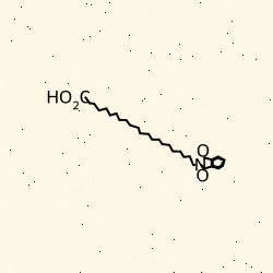 O=C(O)CCCCCCCCCCCCCCCCCCCCCN1C(=O)c2ccccc2C1=O